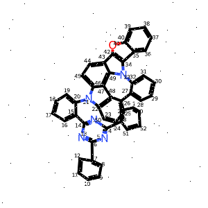 c1ccc(-c2nc(-c3ccccc3)nc(-c3ccccc3-n3c4cccc5c6ccccc6n6c7c8ccccc8oc7c7ccc3c(c54)c76)n2)cc1